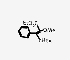 CCCCCCC(=C(OC)C(=O)OCC)c1ccccc1